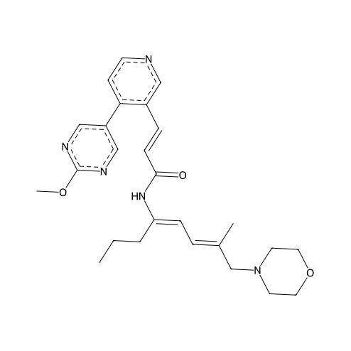 CCC/C(=C\C=C(/C)CN1CCOCC1)NC(=O)/C=C/c1cnccc1-c1cnc(OC)nc1